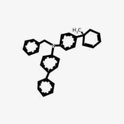 C[C@]1(c2ccc(N(Cc3ccccc3)c3ccc(-c4ccccc4)cc3)cc2)C=CC=CC1